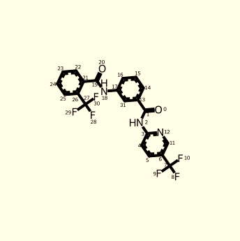 O=C(Nc1ccc(C(F)(F)F)cn1)c1cccc(NC(=O)c2ccccc2C(F)(F)F)c1